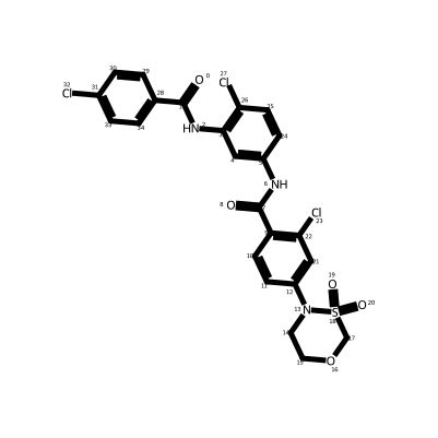 O=C(Nc1cc(NC(=O)c2ccc(N3CCOCS3(=O)=O)cc2Cl)ccc1Cl)c1ccc(Cl)cc1